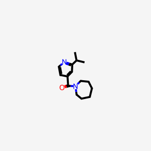 CC(C)c1cc(C(=O)N2CCCCCC2)ccn1